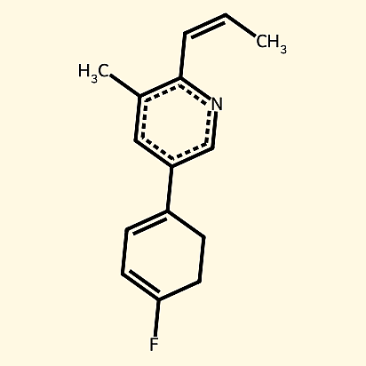 C/C=C\c1ncc(C2=CC=C(F)CC2)cc1C